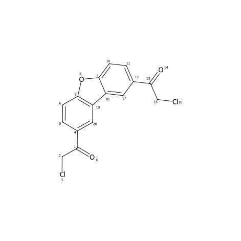 O=C(CCl)c1ccc2oc3ccc(C(=O)CCl)cc3c2c1